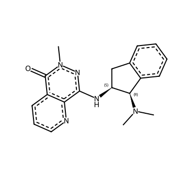 CN(C)[C@@H]1c2ccccc2C[C@@H]1Nc1nn(C)c(=O)c2cccnc12